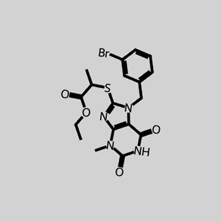 CCOC(=O)C(C)Sc1nc2c(c(=O)[nH]c(=O)n2C)n1Cc1cccc(Br)c1